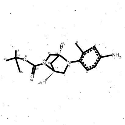 Cc1cc(N)ccc1N1C[C@@H]2C[C@H]1CN2C(=O)OC(C)(C)C